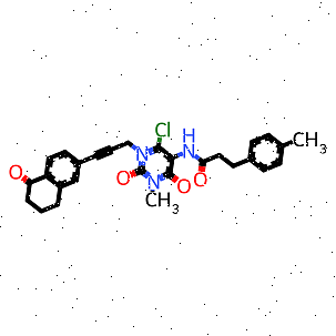 Cc1ccc(CCC(=O)Nc2c(Cl)n(CC#Cc3ccc4c(c3)CCCC4=O)c(=O)n(C)c2=O)cc1